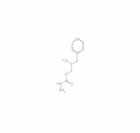 CNC(=O)OCC(N)Cc1ccccc1